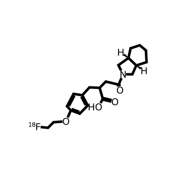 O=C(O)C(CC(=O)N1C[C@H]2CCCC[C@H]2C1)Cc1ccc(OCC[18F])cc1